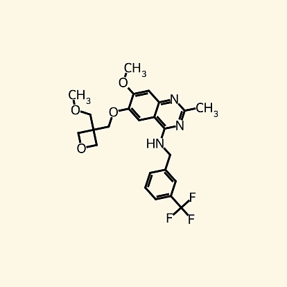 COCC1(COc2cc3c(NCc4cccc(C(F)(F)F)c4)nc(C)nc3cc2OC)COC1